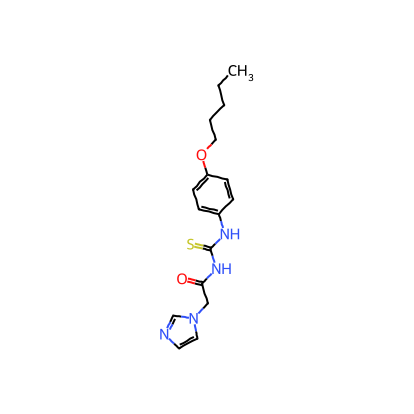 CCCCCOc1ccc(NC(=S)NC(=O)Cn2ccnc2)cc1